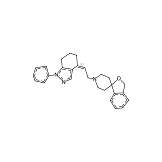 C(/CN1CCC2(CC1)OCc1ccccc12)=C1\CCCc2c1cnn2-c1ccccc1